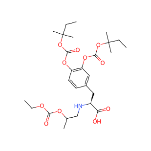 CCOC(=O)OC(C)CN[C@@H](Cc1ccc(OC(=O)OC(C)(C)CC)c(OC(=O)OC(C)(C)CC)c1)C(=O)O